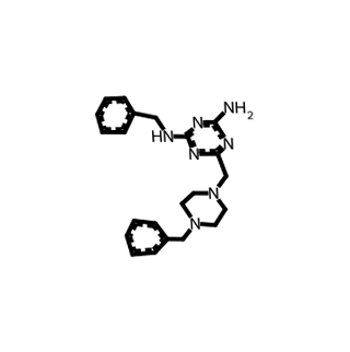 Nc1nc(CN2CCN(Cc3ccccc3)CC2)nc(NCc2ccccc2)n1